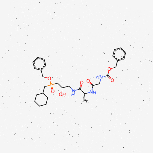 CC(C)[C@H](NC(=O)CNC(=O)OCc1ccccc1)C(=O)NC[C@H](O)CP(=O)(CC1CCCCC1)OCc1ccccc1